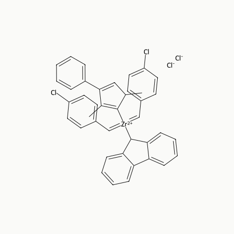 CC1=[C]([Zr+2](=[CH]c2ccc(Cl)cc2)(=[CH]c2ccc(Cl)cc2)[CH]2c3ccccc3-c3ccccc32)C(C)C=C1c1ccccc1.[Cl-].[Cl-]